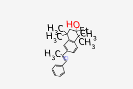 CCC1(O)CC(C)(C)c2cc(/C(C)=C/c3ccccc3)ccc2C1(C)C